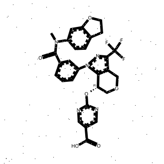 CN(C(=O)c1cccc(-n2nc(C(F)(F)F)c3c2[C@@H](Oc2ncc(C(=O)O)cn2)COC3)c1)c1ccc2c(c1)OCC2